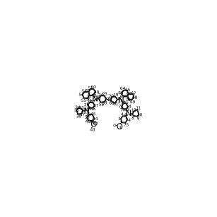 COc1ccc(N(c2ccccc2)c2ccc(N(c3ccc(-c4ccc(N(c5ccc(N(c6ccccc6)c6ccc(OC)cc6)cc5)c5cccc6ccccc56)cc4)cc3)c3cccc4ccccc34)cc2)cc1